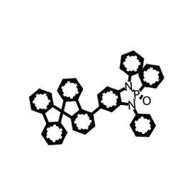 O=P1(c2ccccc2)N(c2ccccc2)c2ccc(-c3cccc4c3-c3ccccc3C43c4ccccc4-c4ccccc43)cc2N1c1ccccc1